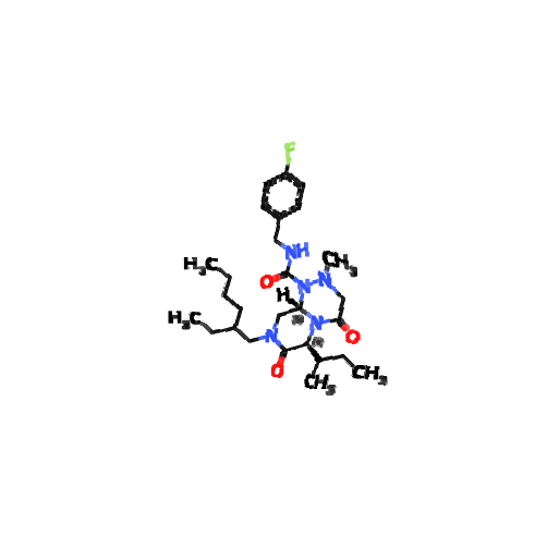 CCCCC(CC)CN1C[C@H]2N(C(=O)CN(C)N2C(=O)NCc2ccc(F)cc2)[C@@H](C(C)CC)C1=O